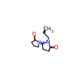 C=CCN1CCCC1=O.O=C1CCCN1